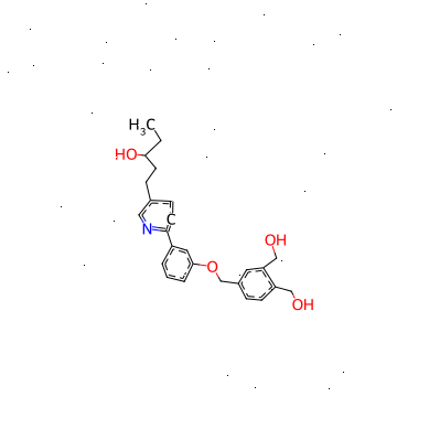 CCC(O)CCc1ccc(-c2cccc(OCc3ccc(CO)c(CO)c3)c2)nc1